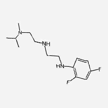 CC(C)N(C)CCNCCNc1ccc(F)cc1F